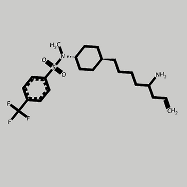 C=CCC(N)CCCC[C@H]1CC[C@H](N(C)S(=O)(=O)c2ccc(C(F)(F)F)cc2)CC1